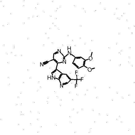 COc1ccc(Nc2ncc(C#N)c(-c3c[nH]c4ncc(C(F)(F)F)cc34)n2)cc1OC